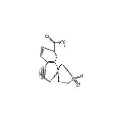 NC(=O)c1ccc2c(c1)C1(CCS(=O)(=O)CC1)CN2